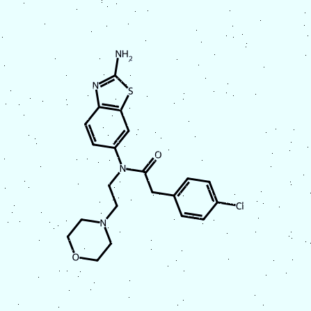 Nc1nc2ccc(N(CCN3CCOCC3)C(=O)Cc3ccc(Cl)cc3)cc2s1